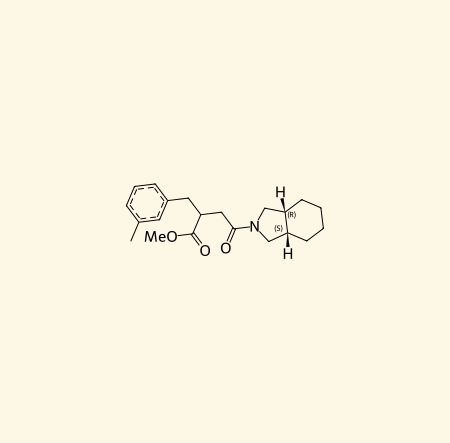 COC(=O)C(CC(=O)N1C[C@H]2CCCC[C@H]2C1)Cc1cccc(C)c1